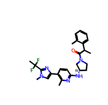 Cc1ccccc1C(C)C(=O)N1CC[C@H](Nc2ccc(-c3cn(C)c(C(C)(F)F)n3)c(C)n2)C1